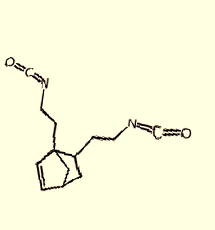 O=C=NCCC1CC2C=CC1(CCN=C=O)C2